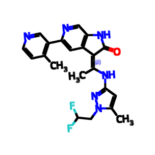 C/C(Nc1cc(C)n(CC(F)F)n1)=C1/C(=O)Nc2cnc(-c3cnccc3C)cc21